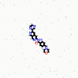 O=C(Nc1cc2cc(-c3cnccn3)ncc2cn1)c1ccc(CN2CCOCC2)cc1